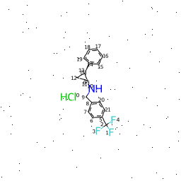 Cl.FC(F)(F)c1ccc(CN[C@@H]2C[C@H]2c2ccccc2)cc1